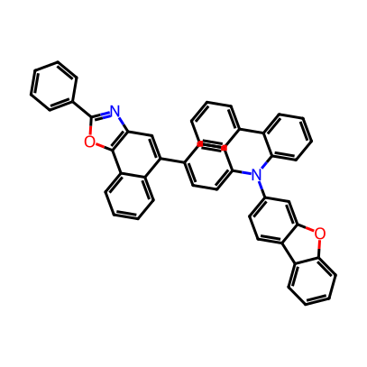 c1ccc(-c2nc3cc(-c4ccc(N(c5ccc6c(c5)oc5ccccc56)c5ccccc5-c5ccccc5)cc4)c4ccccc4c3o2)cc1